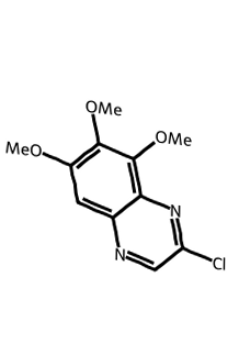 COc1cc2ncc(Cl)nc2c(OC)c1OC